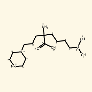 NC(CCCCB(O)O)(CCCN1CCNCC1)C(=O)O